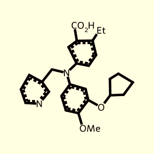 CCc1ccc(N(Cc2cccnc2)c2ccc(OC)c(OC3CCCC3)c2)cc1C(=O)O